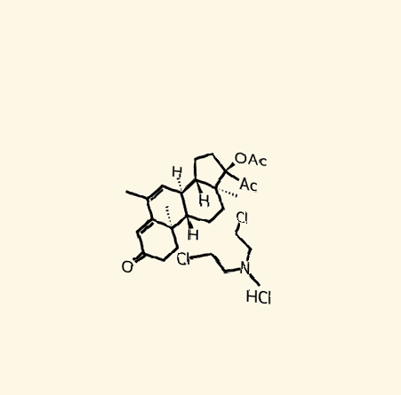 CC(=O)O[C@]1(C(C)=O)CC[C@H]2[C@@H]3C=C(C)C4=CC(=O)CC[C@]4(C)[C@H]3CC[C@@]21C.CN(CCCl)CCCl.Cl